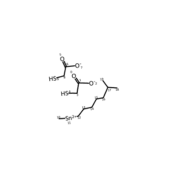 O=C([O-])CS.O=C([O-])CS.[CH3][Sn+2][CH2]CCCCC(C)C